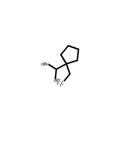 CCCCC(CCC)C1(CC(F)(F)F)CCCC1